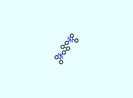 c1ccc(-c2nc(-c3ccc(-c4ccccc4-c4ccccc4-c4ccc(-c5nc(-c6ccccc6)c6ccccc6n5)cc4)cc3)nc3ccccc23)cc1